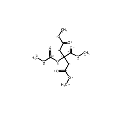 COC(=O)CC(CC(=O)OC)(OC(=O)OC)C(=O)OC